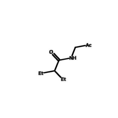 CCC(CC)C(=O)NCC(C)=O